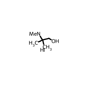 CNC(C)(C)CO.I